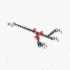 CCCCCC=CCC=CCCCCCCCC(=O)OCC(COC(=O)CCCCCC(CCCC)CCCCCCCC)COC(=O)OCCCN(CC)CC